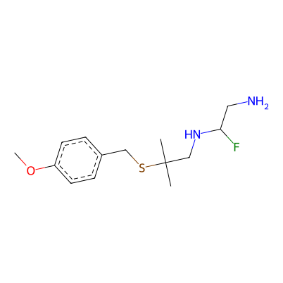 COc1ccc(CSC(C)(C)CNC(F)CN)cc1